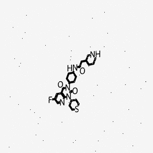 O=C(CC1CCCNC1)NC1CCC(n2c(=O)c3cc(F)cnc3n(C3CCSCC3)c2=O)CC1